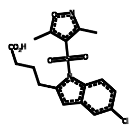 Cc1noc(C)c1S(=O)(=O)n1c(CCCC(=O)O)cc2cc(Cl)ccc21